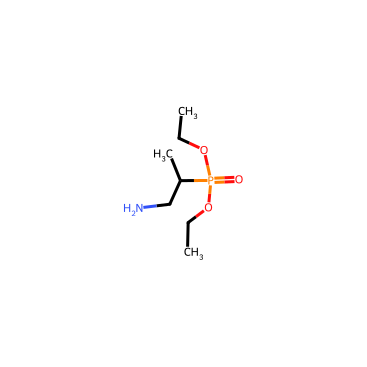 CCOP(=O)(OCC)C(C)CN